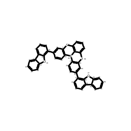 c1cc2c3c(c1)Sc1cc(-c4cccc5c4oc4ccccc45)ccc1B3c1ccc(-c3cccc4c3oc3ccccc34)cc1S2